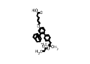 C=CC(=O)OC(C)(C)Cc1ccc(-c2ccc(OCCCCC(=O)O)cc2C23CC4CC(CC(C4)C2)C3)cc1